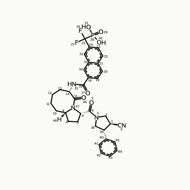 N#C[C@@H]1CN(C(=O)[C@@H]2CC[C@@H]3CCCC[C@H](NC(=O)c4ccc5ccc(C(F)(F)P(=O)(O)O)cc5c4)C(=O)N32)C[C@H]1c1ccccc1